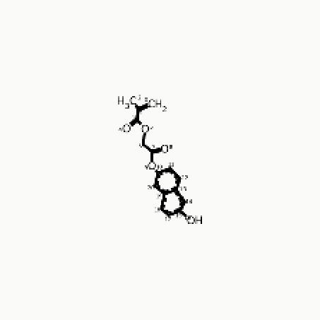 C=C(C)C(=O)OCC(=O)Oc1ccc2cc(O)ccc2c1